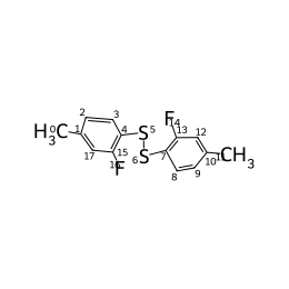 Cc1ccc(SSc2ccc(C)cc2F)c(F)c1